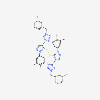 Cc1cccc(Cn2nnc(-c3cnn(-c4ccc(C)c(C)c4)c3SSc3c(-c4nnn(Cc5cccc(C)c5)n4)cnn3-c3ccc(C)c(C)c3)n2)c1